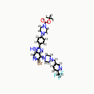 CC(C)(C)OC(=O)N1CCN(c2ccc(-c3nc4c(N5CCN(Cc6ccc(C(F)(F)F)nc6)CC5)c(Br)ncc4[nH]3)cc2)CC1